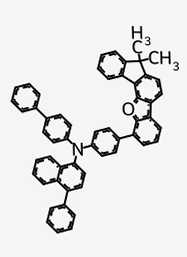 CC1(C)c2ccccc2-c2c1ccc1c2oc2c(-c3ccc(N(c4ccc(-c5ccccc5)cc4)c4ccc(-c5ccccc5)c5ccccc45)cc3)cccc21